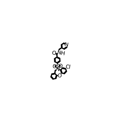 O=C(NCc1ccncc1)c1ccc(S(=O)(=O)N2Cc3ccccc3Oc3ccc(Cl)cc32)cc1